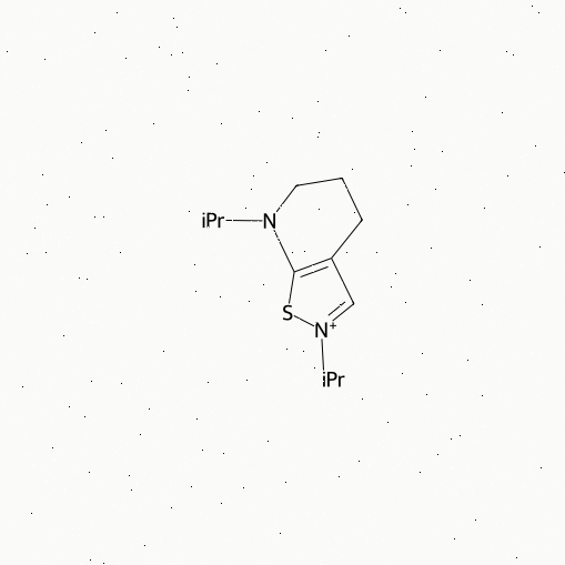 CC(C)N1CCCc2c[n+](C(C)C)sc21